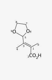 CC(C(=O)O)=C(C)C1OCCO1